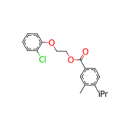 Cc1cc(C(=O)OCCOc2ccccc2Cl)ccc1C(C)C